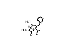 Cl.NC1C(=O)N2C(C(=O)Cl)=C(C[n+]3ccccc3)CS[C@@H]12